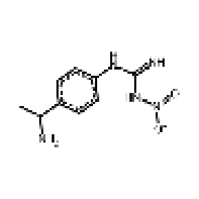 CC(N)c1ccc(NC(=N)N[N+](=O)[O-])cc1